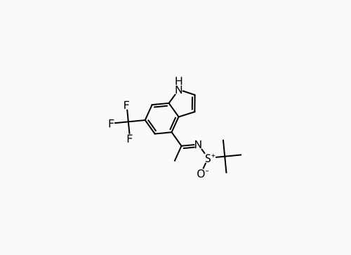 CC(=N[S+]([O-])C(C)(C)C)c1cc(C(F)(F)F)cc2[nH]ccc12